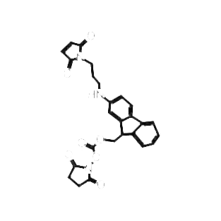 O=C(OCC1c2ccccc2-c2ccc(NCCCN3C(=O)C=CC3=O)cc21)ON1C(=O)CCC1=O